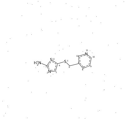 Nc1ncc(SCc2cccnc2)s1